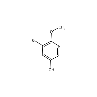 COc1ncc(O)cc1Br